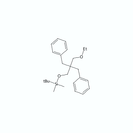 CCOCC(CO[Si](C)(C)C(C)(C)C)(Cc1ccccc1)Cc1ccccc1